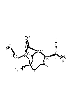 CCCCON1C(=O)N2C[C@@H]1CC[C@@H]2C(N)=O